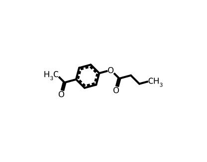 CCCC(=O)Oc1ccc(C(C)=O)cc1